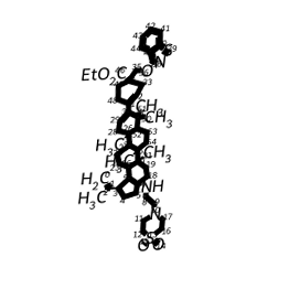 C=C(C)[C@@H]1CC[C@]2(NCCN3CCS(=O)(=O)CC3)CC[C@]3(C)C(CCC4[C@@]5(C)CC=C(C6=CCC(COc7nsc8ccccc78)(C(=O)OCC)CC6)C(C)(C)C5CC[C@]43C)C12